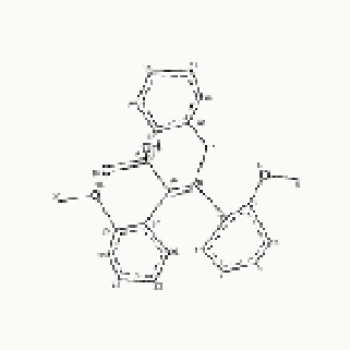 COc1ccccc1C(Cc1ccccc1)=C(C(=O)O)c1ccccc1OC